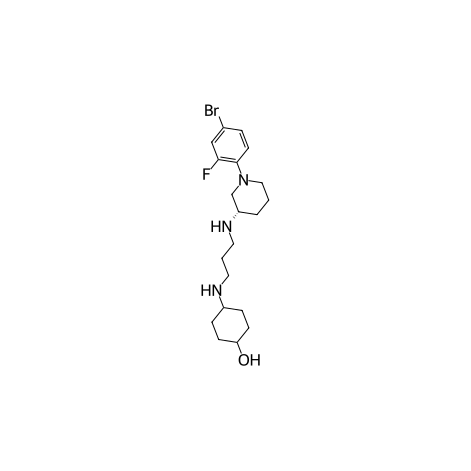 OC1CCC(NCCCN[C@H]2CCCN(c3ccc(Br)cc3F)C2)CC1